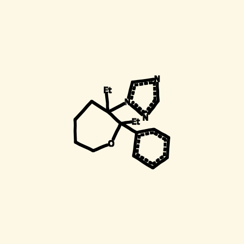 CCC1(c2ccccc2)OCCCCC1(CC)n1cncn1